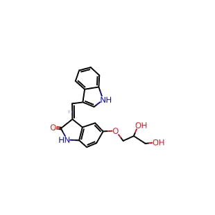 O=C1Nc2ccc(OCC(O)CO)cc2/C1=C\c1c[nH]c2ccccc12